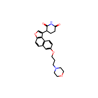 O=C1CCC(c2coc3ccc4cc(OCCCN5CCOCC5)ccc4c23)C(=O)N1